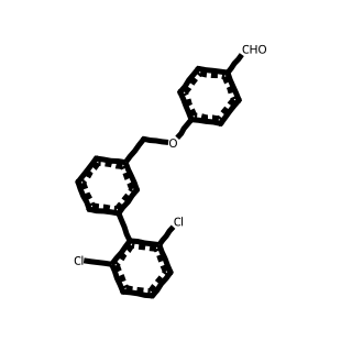 O=Cc1ccc(OCc2cccc(-c3c(Cl)cccc3Cl)c2)cc1